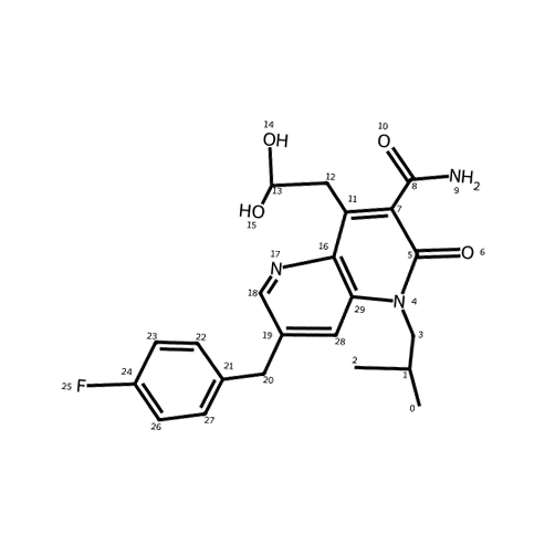 CC(C)Cn1c(=O)c(C(N)=O)c(CC(O)O)c2ncc(Cc3ccc(F)cc3)cc21